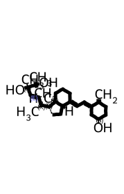 C=C1CC[C@H](O)CC1=CC=C1CCC[C@]2(C)[C@@H]([C@H](C)/C=C/[C@@](C)(O)C(C)(C)O)CC[C@@H]12